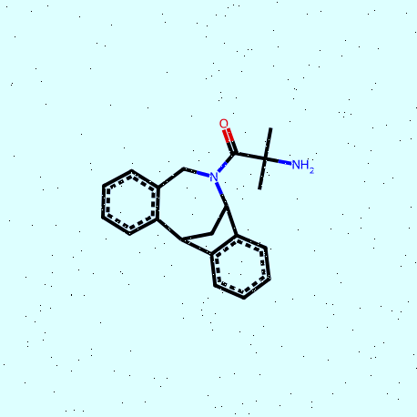 CC(C)(N)C(=O)N1Cc2ccccc2C2CC1c1ccccc12